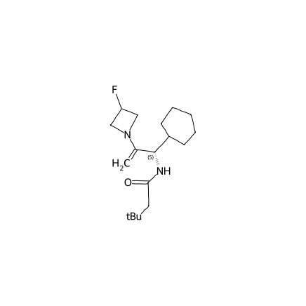 C=C([C@@H](NC(=O)CC(C)(C)C)C1CCCCC1)N1CC(F)C1